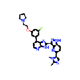 Cc1ncc(-c2ccc3[nH]nc(-c4nc5c(-c6cc(F)cc(OCCN7CCCC7)c6)ccnc5[nH]4)c3n2)n1C